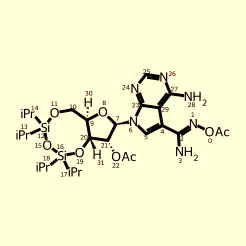 CC(=O)O/N=C(\N)c1cn([C@@H]2O[C@@H]3CO[Si](C(C)C)(C(C)C)O[Si](C(C)C)(C(C)C)O[C@H]3[C@H]2OC(C)=O)c2ncnc(N)c12